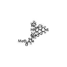 COC(=O)C1=C(C2CCN(c3ncc(C(=O)OC)s3)CC2)NC(c2nccs2)=NC1c1ccc(F)cc1Cl